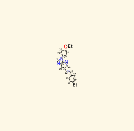 CCOc1ccc(-n2cnc3cc(/C=C/c4ccc(CC)cc4)cnc32)cc1